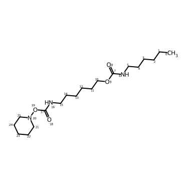 CCCCCCNC(=O)OCCCCCCNC(=O)ON1CCCCC1